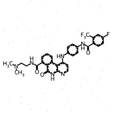 CN(C)CCNC(=O)c1cccc2c1c(=O)[nH]c1nccc(Nc3ccc(NC(=O)c4ccc(F)cc4C(F)(F)F)cc3)c12